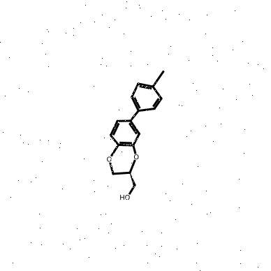 Cc1ccc(-c2ccc3c(c2)O[C@@H](CO)CO3)cc1